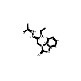 CCOC(Cn1c(=O)sc2ccccc21)=NN=C(C)C